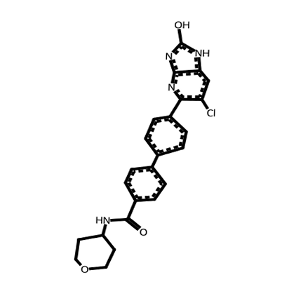 O=C(NC1CCOCC1)c1ccc(-c2ccc(-c3nc4nc(O)[nH]c4cc3Cl)cc2)cc1